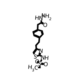 CCS(=O)(=O)Nc1nc(CCc2ccc(CC(=O)NN)cc2)cs1